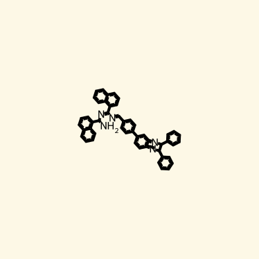 NC(/N=C(\N=C\c1ccc(-c2ccc3c(c2)n2n3C(c3ccccc3)C2c2ccccc2)cc1)c1cccc2ccccc12)c1cccc2ccccc12